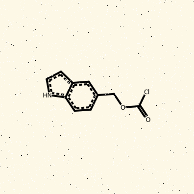 O=C(Cl)OCc1ccc2[nH]ccc2c1